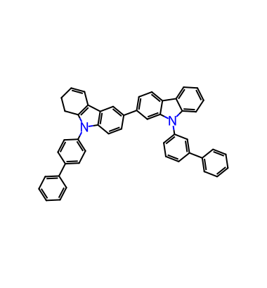 C1=Cc2c(n(-c3ccc(-c4ccccc4)cc3)c3ccc(-c4ccc5c6ccccc6n(-c6cccc(-c7ccccc7)c6)c5c4)cc23)CC1